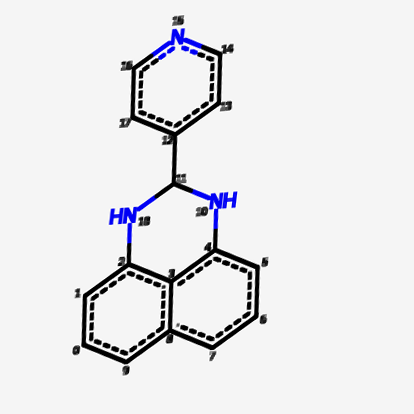 c1cc2c3c(cccc3c1)NC(c1ccncc1)N2